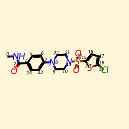 CNC(=O)c1ccc(N2CCN(S(=O)(=O)c3ccc(Cl)s3)CC2)cc1